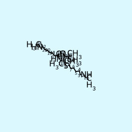 CCNCCCCCCSC(C)(C)[C@H](NC(=O)CCCCCCNC)C(=O)C(C)C